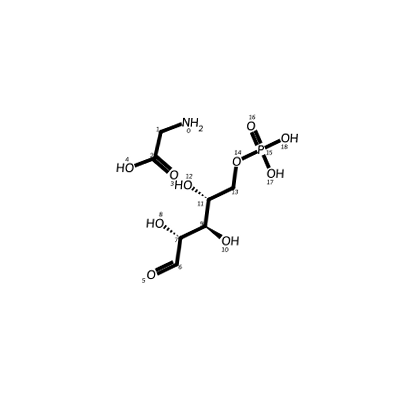 NCC(=O)O.O=C[C@H](O)[C@H](O)[C@H](O)COP(=O)(O)O